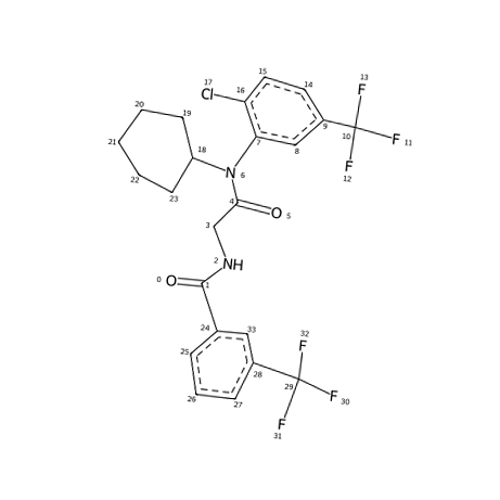 O=C(NCC(=O)N(c1cc(C(F)(F)F)ccc1Cl)C1CCCCC1)c1cccc(C(F)(F)F)c1